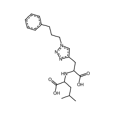 CC(C)CC(NC(Cc1cn(CCCc2ccccc2)nn1)C(=O)O)C(=O)O